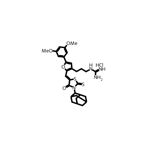 COc1cc(OC)cc(-c2cc(CCCNC(=N)N)c(C=C3SC(=S)N(C4C5CC6CC(C5)CC4C6)C3=O)o2)c1.Cl